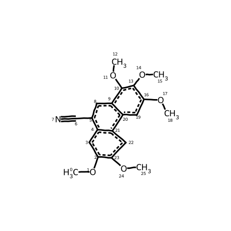 COc1cc2c(C#N)cc3c(OC)c(OC)c(OC)cc3c2cc1OC